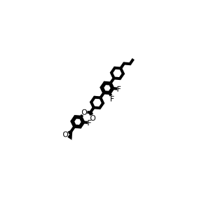 CCCC1CCC(c2ccc(C3CCC(C(=O)Oc4ccc(C5CO5)cc4F)CC3)c(F)c2F)CC1